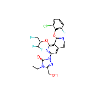 CCn1c(CO)nn(-c2cc3ccnc(Oc4c(F)cccc4Cl)c3c(OC(CF)C(F)F)n2)c1=O